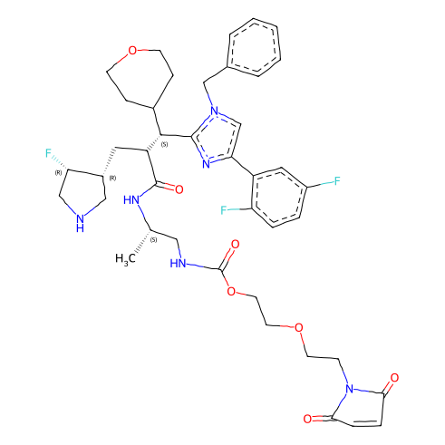 C[C@@H](CNC(=O)OCCOCCN1C(=O)C=CC1=O)NC(=O)C(C[C@@H]1CNC[C@@H]1F)[C@@H](c1nc(-c2cc(F)ccc2F)cn1Cc1ccccc1)C1CCOCC1